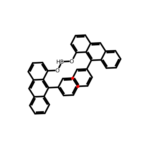 B(Oc1cccc2cc3ccccc3c(-c3ccccc3)c12)Oc1cccc2cc3ccccc3c(-c3ccccc3)c12